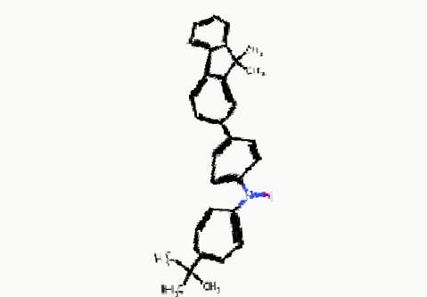 CC(C)(C)c1ccc(N(I)c2ccc(-c3ccc4c(c3)C(C)(C)c3ccccc3-4)cc2)cc1